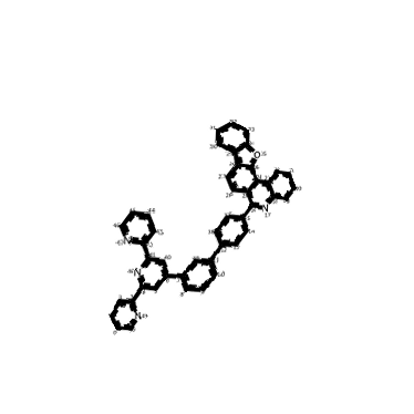 c1ccc(-c2cc(-c3cccc(-c4ccc(-c5nc6ccccc6c6c5ccc5c7ccccc7oc56)cc4)c3)cc(-c3ccccn3)n2)nc1